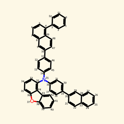 c1ccc(-c2cccc3cc(-c4ccc(N(c5ccc(-c6ccc7ccccc7c6)cc5)c5cccc6oc7ccccc7c56)cc4)ccc23)cc1